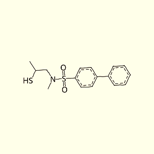 CC(S)CN(C)S(=O)(=O)c1ccc(-c2ccccc2)cc1